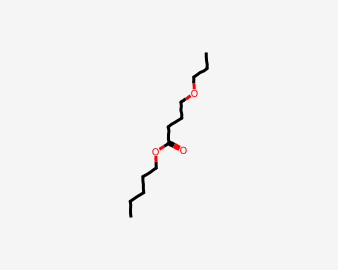 CCCCCOC(=O)CCCOCCC